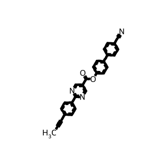 CC#Cc1ccc(-c2ncc(C(=O)Oc3ccc(-c4ccc(C#N)cc4)cc3)cn2)cc1